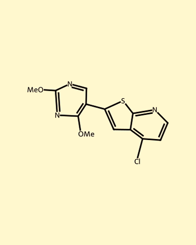 COc1ncc(-c2cc3c(Cl)ccnc3s2)c(OC)n1